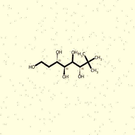 CC(C)(C)[C@H](O)C(O)[C@@H](O)[C@@H](O)CCO